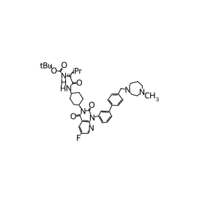 CC(C)[C@H](NC(=O)OC(C)(C)C)C(=O)N[C@H]1CC[C@@H](n2c(=O)c3cc(F)cnc3n(-c3cccc(-c4ccc(CN5CCCN(C)CC5)cc4)c3)c2=O)CC1